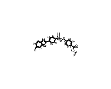 CCOC(=O)c1ccc(CSNc2ccc(-c3nc4ccc(C)cc4s3)cc2)cc1